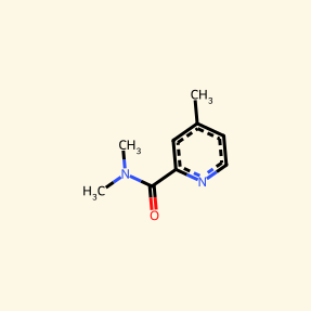 Cc1ccnc(C(=O)N(C)C)c1